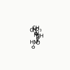 CN1C(=O)Cc2cnc(Nc3ccc(C(=O)NCCc4ccccc4)cc3)nc2-c2ccccc21